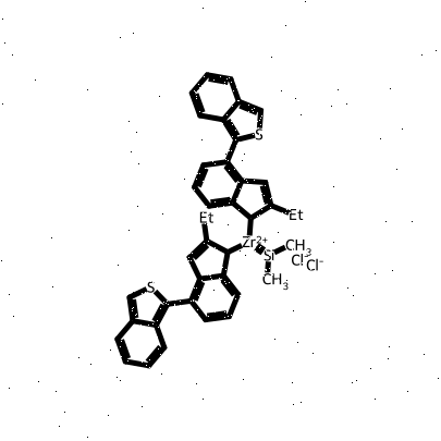 CCC1=Cc2c(-c3scc4ccccc34)cccc2[CH]1[Zr+2]([CH]1C(CC)=Cc2c(-c3scc4ccccc34)cccc21)=[Si](C)C.[Cl-].[Cl-]